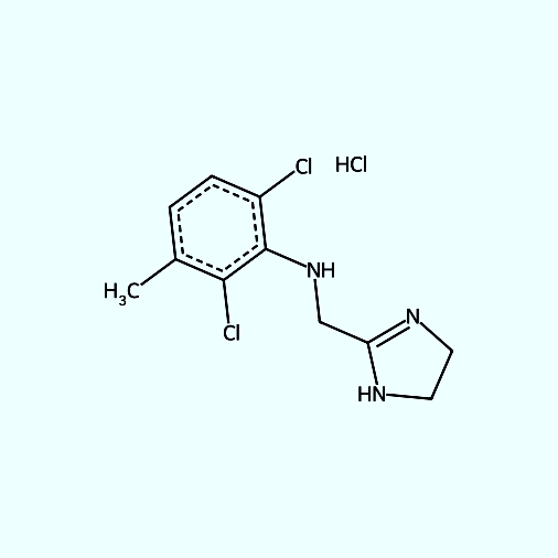 Cc1ccc(Cl)c(NCC2=NCCN2)c1Cl.Cl